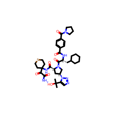 CC(C)(O)c1cnnn1[C@H]1C[C@@H](C(=O)NC2(C(=O)C(N)=O)CCSCC2)N(C(=O)[C@@H](CC2CCCCC2)NC(=O)c2ccc(C(=O)N3CCCC3)cc2)C1